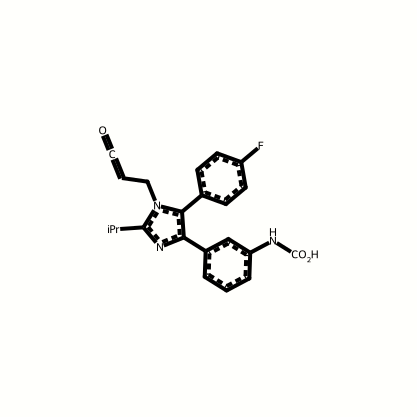 CC(C)c1nc(-c2cccc(NC(=O)O)c2)c(-c2ccc(F)cc2)n1CC=C=O